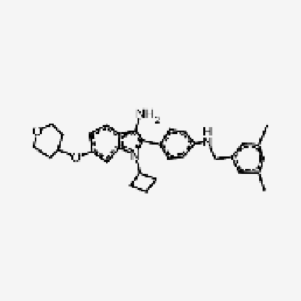 Cc1cc(C)cc(CNc2ccc(-c3c(N)c4ccc(OC5CCOCC5)cc4n3C3CCC3)cc2)c1